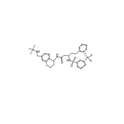 CC(C)(C)NCc1ccc2c(c1)CCCC2NC(=O)CC(CCc1ccccc1)NS(=O)(=O)c1cccc(C(F)(F)F)c1